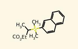 CCOC(=O)C(C)S(C)(C)c1ccc2ccccc2c1